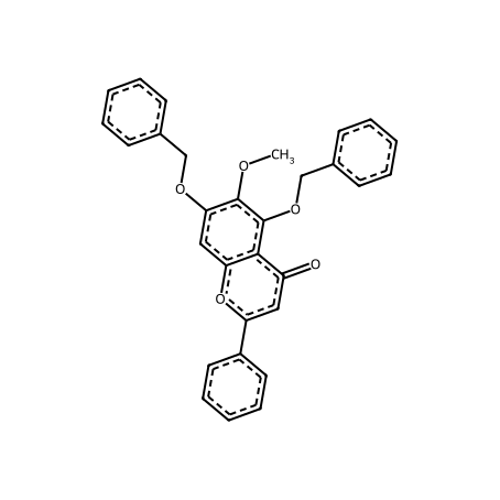 COc1c(OCc2ccccc2)cc2oc(-c3ccccc3)cc(=O)c2c1OCc1ccccc1